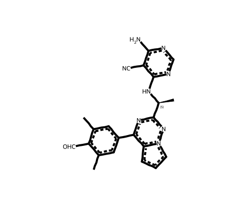 Cc1cc(-c2nc([C@H](C)Nc3ncnc(N)c3C#N)nn3cccc23)cc(C)c1C=O